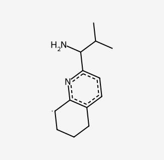 CC(C)C(N)c1ccc2c(n1)[CH]CCC2